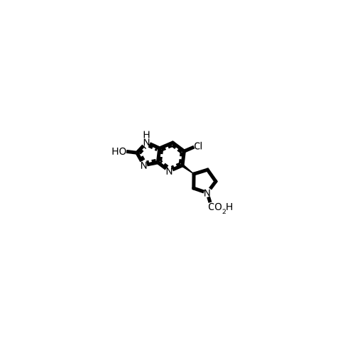 O=C(O)N1CC[C@H](c2nc3nc(O)[nH]c3cc2Cl)C1